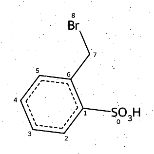 O=S(=O)(O)c1ccccc1CBr